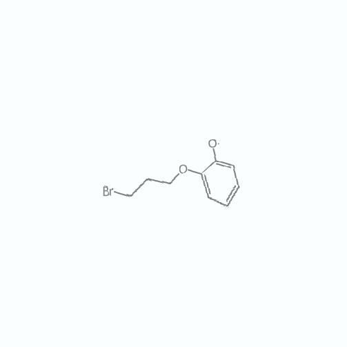 [O]c1ccccc1OCCCBr